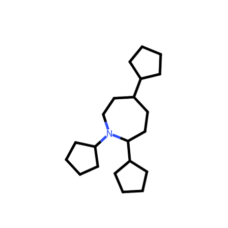 C1CCC(C2CCC(C3CCCC3)N(C3CCCC3)CC2)C1